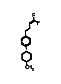 C[C@H]1CC[C@H](c2ccc(CCC=C(F)F)cc2)CC1